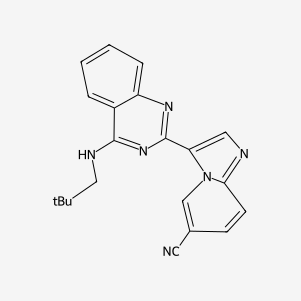 CC(C)(C)CNc1nc(-c2cnc3ccc(C#N)cn23)nc2ccccc12